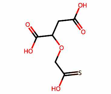 O=C(O)CC(OCC(O)=S)C(=O)O